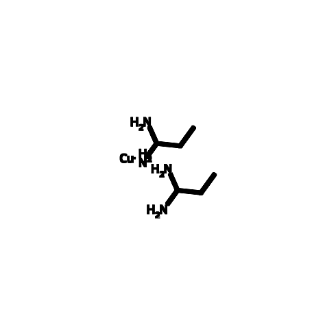 CCC(N)N.CCC(N)N.[Cu]